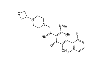 CNc1[nH]c(-c2c(F)cccc2F)c(O)c(=O)c1C(=N)CN1CCN(C2COC2)CC1